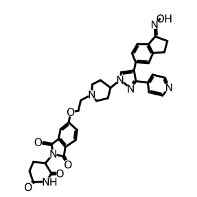 O=C1CCC(N2C(=O)c3ccc(OCCN4CCC(n5cc(-c6ccc7c(c6)CCC7=NO)c(-c6ccncc6)n5)CC4)cc3C2=O)C(=O)N1